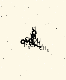 CCCCCC(C)(C)c1cc(C(C)(C)c2ccccc2)cc(-n2nc3ccc(Cl)cc3n2)c1O